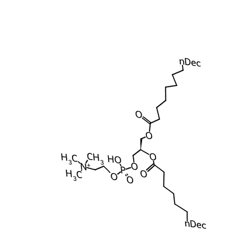 CCCCCCCCCCCCCCCCCC(=O)OC[C@H](COP(=O)(O)OCC[N+](C)(C)C)OC(=O)CCCCCCCCCCCCCCC